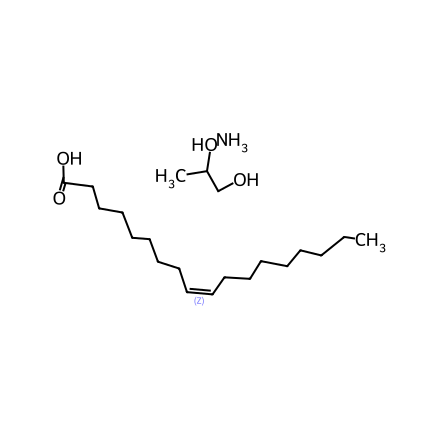 CC(O)CO.CCCCCCCC/C=C\CCCCCCCC(=O)O.N